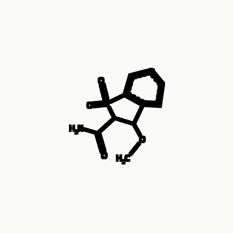 COC1c2cc[c]cc2S(=O)(=O)C1C(N)=O